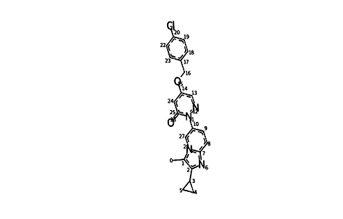 Cc1c(C2CC2)nc2ccc(-n3ncc(OCc4ccc(Cl)cc4)cc3=O)cn12